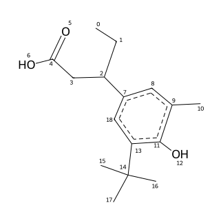 CCC(CC(=O)O)c1cc(C)c(O)c(C(C)(C)C)c1